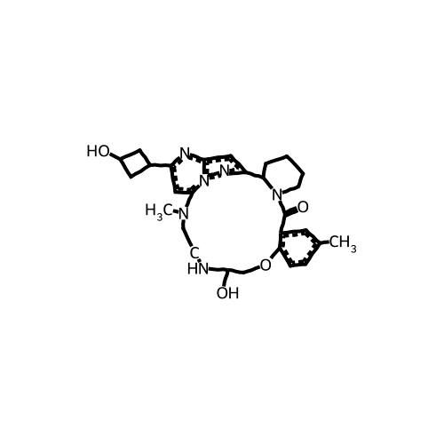 Cc1ccc2c(c1)C(=O)N1CCCCC1c1cc3nc(C4CC(O)C4)cc(n3n1)N(C)CCNC(O)CO2